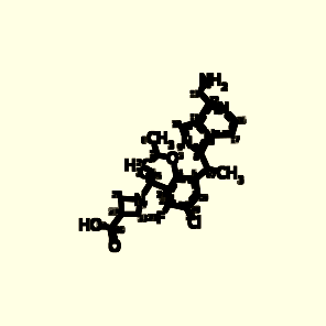 CC(C)Oc1c(C(C)c2ncc3c(CN)nccn23)cc(Cl)c(F)c1C(=O)N1CC(C(=O)O)C1